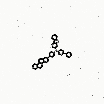 c1ccc(-c2ccc(N(c3ccc(-c4ccc5c(ccc6c7ccccc7ccc56)c4)cc3)c3ccc4c(c3)sc3ccccc34)cc2)cc1